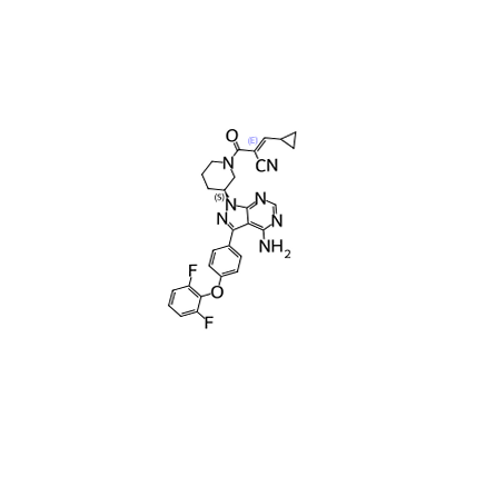 N#C/C(=C\C1CC1)C(=O)N1CCC[C@H](n2nc(-c3ccc(Oc4c(F)cccc4F)cc3)c3c(N)ncnc32)C1